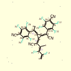 C=C(F)/C(F)=C(C)/C(C#N)=C1\C(=C(C#N)c2c(F)c(F)c(C#N)c(F)c2F)\C1=C(/C)c1c(F)c(F)c(C#N)c(F)c1F